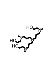 CN(CCO)CCCN(CCCN(C)CCO)CCCN(C)CCO